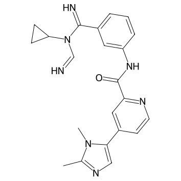 Cc1ncc(-c2ccnc(C(=O)Nc3cccc(C(=N)N(C=N)C4CC4)c3)c2)n1C